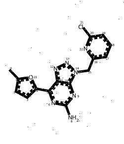 Cc1ccc(-c2nc(N)nc3c2nnn3Cc2cccc(Cl)n2)o1